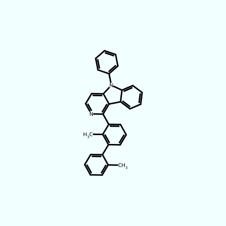 Cc1ccccc1-c1cccc(-c2nccc3c2c2ccccc2n3-c2ccccc2)c1C